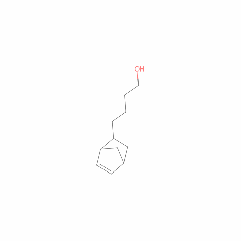 OCCCCC1CC2C=CC1C2